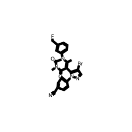 Cc1c(-c2c(Br)cnn2-c2ccc(C#N)cc2)c(=O)n(C)c(=O)n1-c1cccc(CF)c1